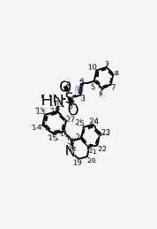 O=S(=O)(/C=C/c1ccccc1)Nc1cccc(C2=NCCc3ccccc32)c1